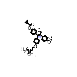 CC/C(=C(/c1ccc(OCCN(C)C)cc1)c1ccc(OC(=O)C2CC2)cc1)c1ccc2c(c1)OCO2